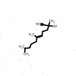 C#CC(C)(O)CC/C=C(\C)CCCC(=C)C